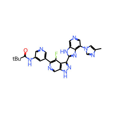 Cc1cn(-c2cncc3[nH]c(-c4n[nH]c5cnc(-c6cncc(NC(=O)C(C)(C)C)c6)c(F)c45)nc23)cn1